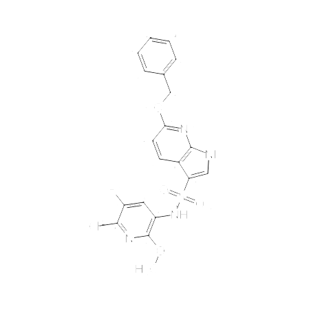 COc1nc(Cl)c(F)cc1NS(=O)(=O)c1c[nH]c2nc(OCc3ccccc3)ccc12